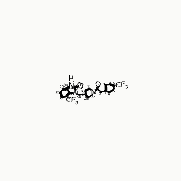 O=C(Cc1ccc(C(F)(F)F)cc1)N1CCC(Cn2c(=O)[nH]c3cccc(C(F)(F)F)c32)CC1